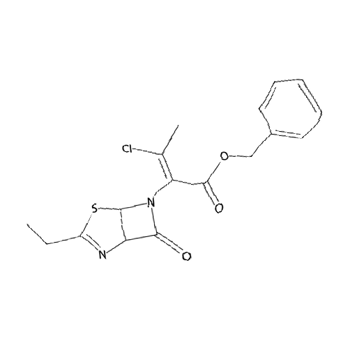 CCC1=NC2C(=O)N(C(C(=O)OCc3ccccc3)=C(C)Cl)C2S1